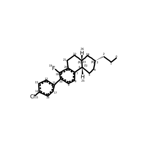 CCC[C@@H]1CC[C@@H]2c3ccc(-c4ccc(Cl)cc4)c(F)c3CC[C@@H]2C1